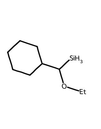 CCOC([SiH3])C1CCCCC1